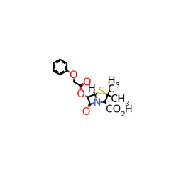 CC1(C)S[C@H]2[C@@H](OC(=O)COc3ccccc3)C(=O)N2C1C(=O)O